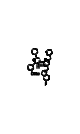 COc1cccc(C(=O)N[C@H](CCC2CCCCC2)C(=O)N[C@@H](CSCc2ccccc2)CN2CCc3cc(F)ccc32)c1